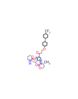 C[C@@H]1CCOP(OC(CP2(=O)NCCCO2)c2nc(C(=O)CCOc3ccc(-c4ccc(C(F)(F)F)cc4)cc3)cs2)N1